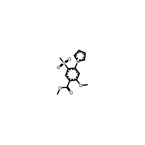 COC(=O)c1cc(S(C)(=O)=O)c(-n2cccc2)cc1OC